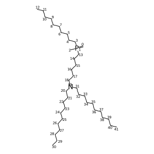 C=P(C)(CCCCCCCCCC)CCCCCCN(CCCCCCCCCCC)CCCCCCCCCCC